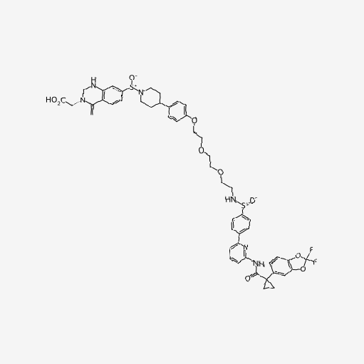 C=C1c2ccc([S+]([O-])N3CCC(c4ccc(OCCOCCOCCN[S+]([O-])c5ccc(-c6cccc(NC(=O)C7(c8ccc9c(c8)OC(F)(F)O9)CC7)n6)cc5)cc4)CC3)cc2NCN1CC(=O)O